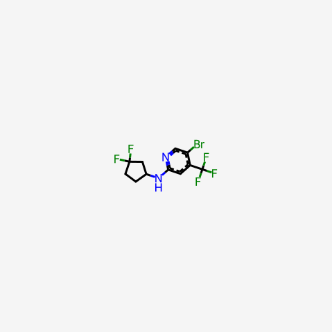 FC1(F)CCC(Nc2cc(C(F)(F)F)c(Br)cn2)C1